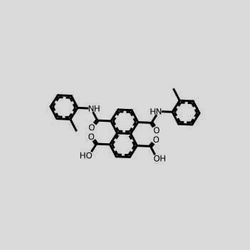 Cc1ccccc1NC(=O)c1ccc(C(=O)Nc2ccccc2C)c2c(C(=O)O)ccc(C(=O)O)c12